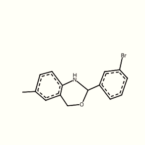 Cc1ccc2c(c1)COC(c1cccc(Br)c1)N2